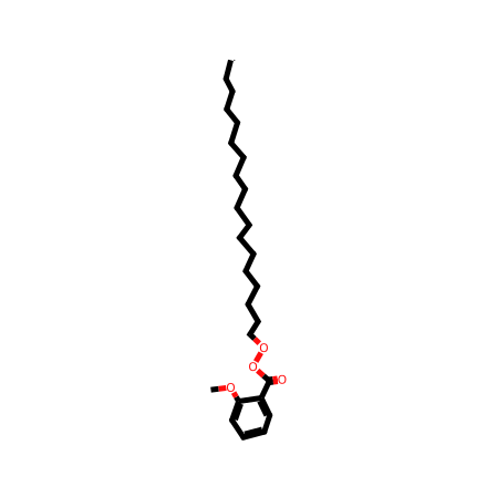 [CH2]CCCCCCCCCCCCCCCCCOOC(=O)c1ccccc1OC